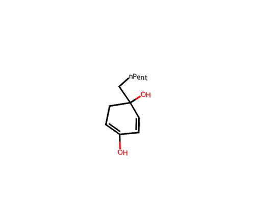 CCCCCCC1(O)C=CC(O)=CC1